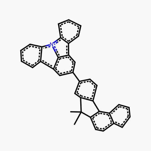 CC1(C)c2cc(-c3cc4c5ccccc5n5c6ccccc6c(c3)c45)ccc2-c2c1ccc1ccccc21